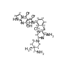 CC1(CN)CCN(c2cnc(Sc3cccc(NC(=O)c4c(O)nc5[nH]ccn5c4=O)c3Cl)c(N)n2)CC1